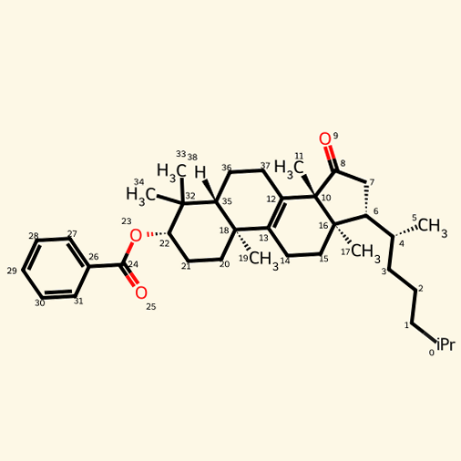 CC(C)CCC[C@@H](C)[C@H]1CC(=O)[C@@]2(C)C3=C(CC[C@]12C)[C@@]1(C)CC[C@H](OC(=O)c2ccccc2)C(C)(C)[C@@H]1CC3